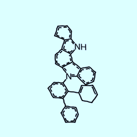 C1=CCCC(c2c(-c3ccccc3)cccc2-n2c3ccccc3c3c4[nH]c5ccccc5c4ccc32)=C1